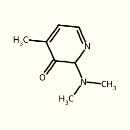 CC1=CC=NC(N(C)C)C1=O